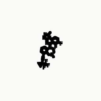 Cc1nnc2nc(N3CCN(C)Cc4c(C#CC5(C(F)(F)F)CC5)cccc43)c3c(F)c(F)ccc3n12